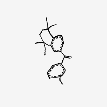 CC1(C)CCC(C)(C)c2cc(C(=O)c3cccc(I)c3)ccc21